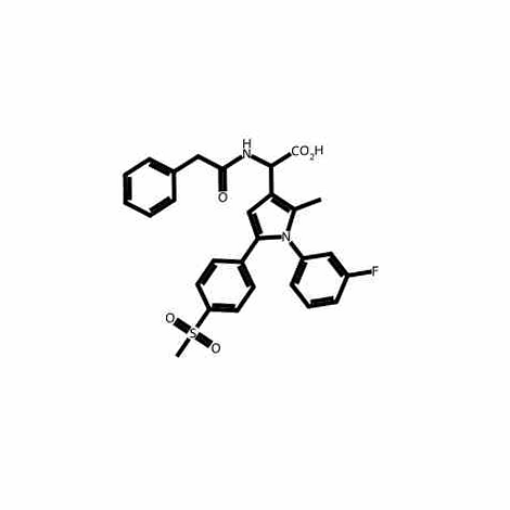 Cc1c(C(NC(=O)Cc2ccccc2)C(=O)O)cc(-c2ccc(S(C)(=O)=O)cc2)n1-c1cccc(F)c1